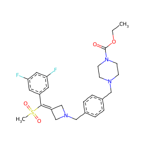 CCOC(=O)N1CCN(Cc2ccc(CN3CC(=C(c4cc(F)cc(F)c4)S(C)(=O)=O)C3)cc2)CC1